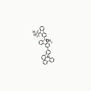 CCC(c1ccc2c(c1)C(C)(C)c1ccccc1-2)c1ccccc1-c1cc(-c2ccc3c(c2)c2ccccc2n3-c2ccccc2-c2ccccc2)ccc1C